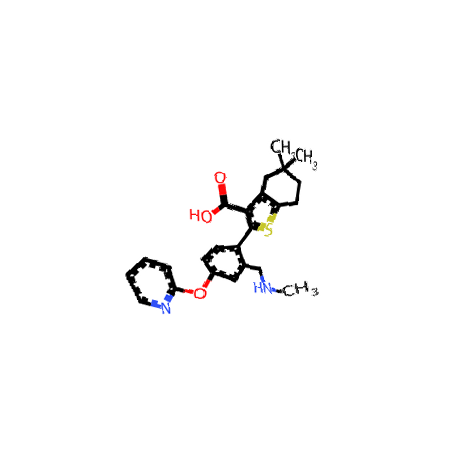 CNCc1cc(Oc2ccccn2)ccc1-c1sc2c(c1C(=O)O)CC(C)(C)CC2